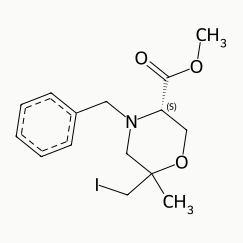 COC(=O)[C@@H]1COC(C)(CI)CN1Cc1ccccc1